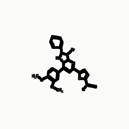 COc1ccc(C2=CC(c3ccc([N+](=O)[O-])o3)=NC3C(Br)C(c4ccccc4)NN23)cc1OC